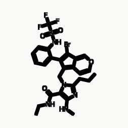 CCCc1nc(NC)c(C(=O)NCC)n1Cc1c2ccocc-2c(Br)c1-c1ccccc1NS(=O)(=O)C(F)(F)F